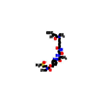 CC(C)CN(CC[S+](C)[O-])C(=O)OCc1ccc(NC(=O)C(C)NC(=O)CNC(=O)CCCCCN(C)C(=O)CC(C=O)C(C)C)cc1